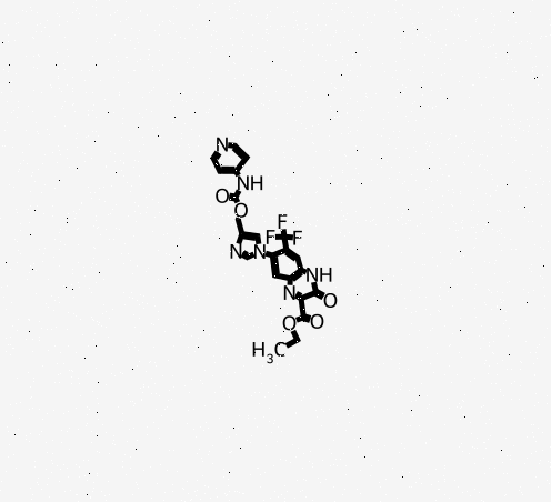 CCOC(=O)c1nc2cc(-n3cnc(COC(=O)Nc4ccncc4)c3)c(C(F)(F)F)cc2[nH]c1=O